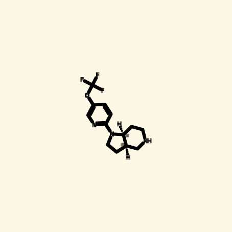 FC(F)(F)Oc1ccc(N2CC[C@@H]3CNCC[C@@H]32)nc1